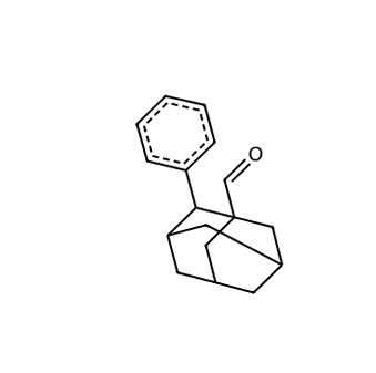 O=CC12CC3CC(CC(C3)C1c1ccccc1)C2